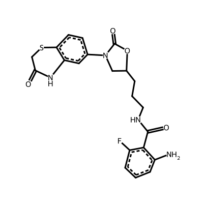 Nc1cccc(F)c1C(=O)NCCCC1CN(c2ccc3c(c2)NC(=O)CS3)C(=O)O1